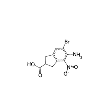 Nc1c(Br)cc2c(c1[N+](=O)[O-])CC(C(=O)O)C2